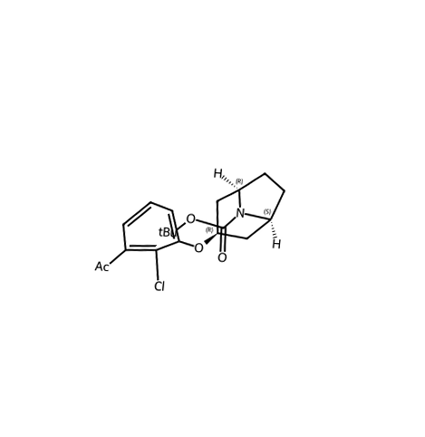 CC(=O)c1cccc(O[C@H]2C[C@H]3CC[C@@H](C2)N3C(=O)OC(C)(C)C)c1Cl